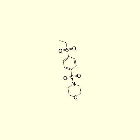 CCS(=O)(=O)c1ccc(S(=O)(=O)N2CCOCC2)cc1